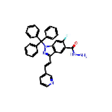 NNC(=O)c1cc2c(C=Cc3cccnc3)nn(C(c3ccccc3)(c3ccccc3)c3ccccc3)c2cc1F